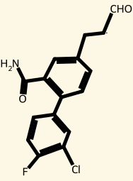 NC(=O)c1cc(C[CH]C=O)ccc1-c1ccc(F)c(Cl)c1